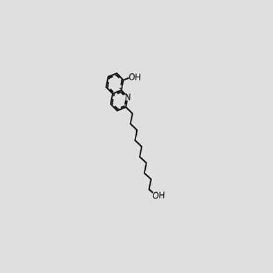 OCCCCCCCCCCc1ccc2cccc(O)c2n1